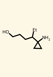 CCC(CCCO)C1(N)CC1